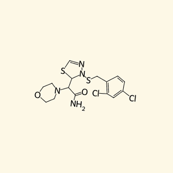 NC(=O)C(C1SC=NN1SCc1ccc(Cl)cc1Cl)N1CCOCC1